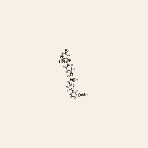 COc1cccc(N2CCN(CC(O)COc3ccc(-c4nc5cc(Br)cnc5[nH]4)cc3)CC2)c1